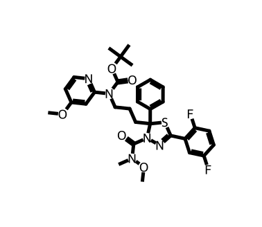 COc1ccnc(N(CCCC2(c3ccccc3)SC(c3cc(F)ccc3F)=NN2C(=O)N(C)OC)C(=O)OC(C)(C)C)c1